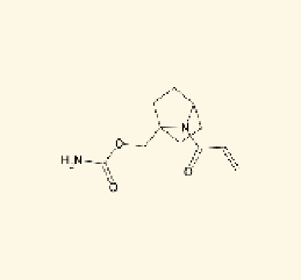 C=CC(=O)N1C2CCC1(COC(N)=O)CC2